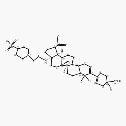 C=C(C)[C@@H]1CC[C@]2(NCCN3CCC(S(C)(=O)=O)CC3)CC[C@]3(C)[C@H](CCC4[C@@]5(C)CC=C(C6=CCC(F)(C(=O)O)CC6)C(C)(C)C5CC[C@]43C)C12